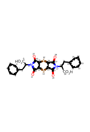 O=C(O)C(Cc1ccccc1)n1c(=O)c2sc3c(=O)n(C(Cc4ccccc4)C(=O)O)c(=O)c3sc2c1=O